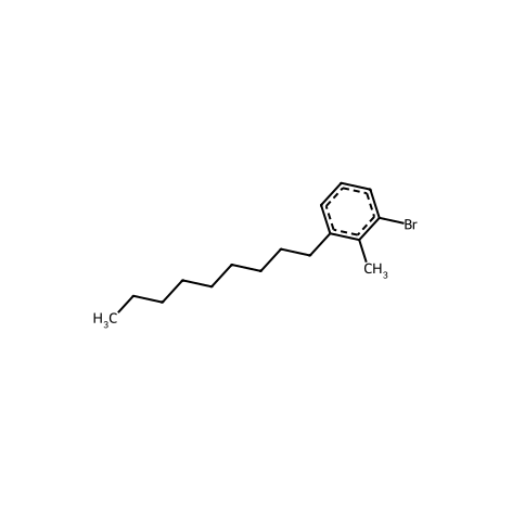 CCCCCCCCCc1cccc(Br)c1C